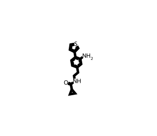 Nc1cc(CCNC(=O)C2CC2)ccc1-c1ccsc1